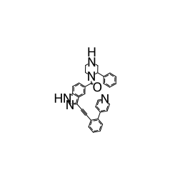 O=C(c1ccc2[nH]nc(C#Cc3ccccc3-c3ccncc3)c2c1)N1CCNCC1c1ccccc1